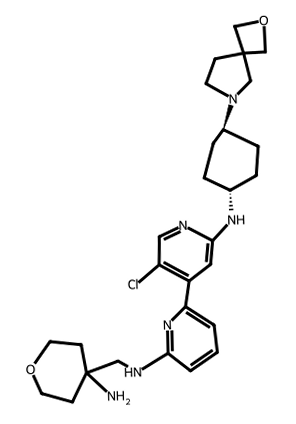 NC1(CNc2cccc(-c3cc(N[C@H]4CC[C@H](N5CCC6(COC6)C5)CC4)ncc3Cl)n2)CCOCC1